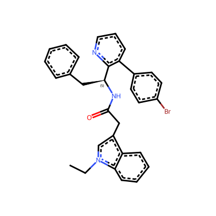 CCn1cc(CC(=O)N[C@@H](Cc2ccccc2)c2ncccc2-c2ccc(Br)cc2)c2ccccc21